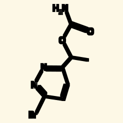 CC(OC(N)=O)c1ccc(Br)nn1